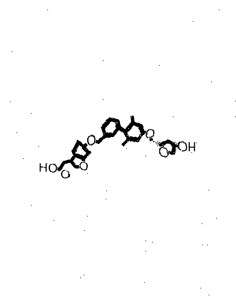 Cc1cc(OC[C@@H]2C[C@@H](O)CO2)cc(C)c1-c1cccc(COc2ccc3c(c2)OCC3CC(=O)O)c1